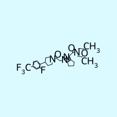 C[C@@H]1CN(C(=O)c2nn(CC(=O)N3CCC(c4ccc(C(F)(F)F)cc4F)CC3)c3c2CCC3)C[C@H](C)O1